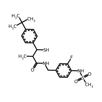 CC(C(=O)NCc1ccc(NS(C)(=O)=O)c(F)c1)C(S)c1ccc(C(C)(C)C)cc1